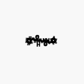 O=C(/C=C/c1ccccc1)NCCNC(=O)/C=C/c1ccccc1